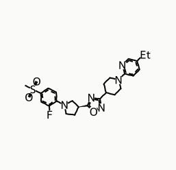 CCc1ccc(N2CCC(c3noc([C@H]4CCN(c5ccc(S(C)(=O)=O)cc5F)C4)n3)CC2)nc1